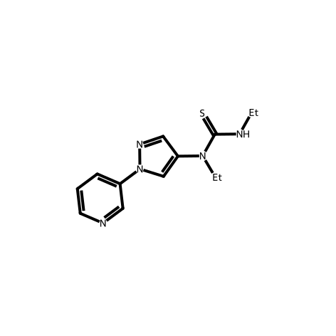 CCNC(=S)N(CC)c1cnn(-c2cccnc2)c1